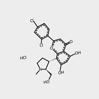 CN1CC[C@H](c2c(O)cc(O)c3c(=O)cc(-c4ccc(Cl)cc4Cl)oc23)[C@H]1CO.Cl